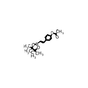 CC(=O)Oc1ccc(C=CB2OC(C)(C)C(C)(C)O2)cc1